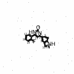 O=c1nc(-c2ccc3[nH]ncc3c2)cc(-c2ccccc2F)[nH]1